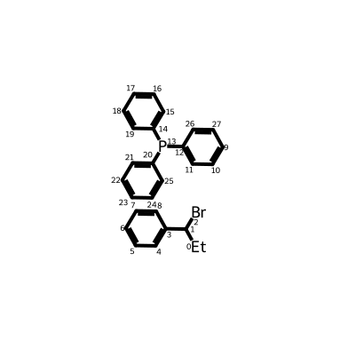 CCC(Br)c1ccccc1.c1ccc(P(c2ccccc2)c2ccccc2)cc1